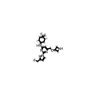 FCc1ccn(-c2nc(COC3CNC3)cc(NC3CCC(F)(F)CC3)n2)n1